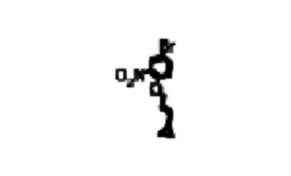 O=[N+]([O-])c1cc(Br)ccc1OCC=CC1CC1